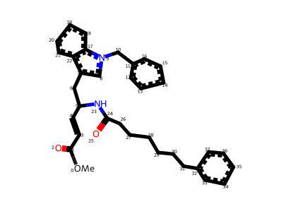 COC(=O)/C=C/C(Cc1cn(Cc2ccccc2)c2ccccc12)NC(=O)CCCCCCc1ccccc1